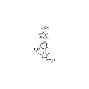 Cc1cc(C(=O)O)c(C)n1-c1ccc(-c2ccc(CO)cc2)cc1C(F)(F)F